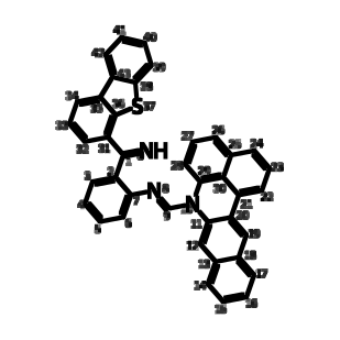 N=C(c1ccccc1/N=C/N1c2cc3ccccc3cc2-c2cccc3cccc1c23)c1cccc2c1sc1ccccc12